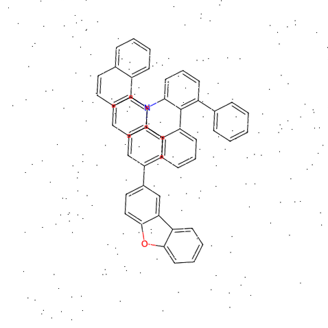 c1ccc(-c2ccccc2-c2c(-c3ccccc3)cccc2N(c2ccc(-c3ccc4oc5ccccc5c4c3)cc2)c2cccc3ccccc23)cc1